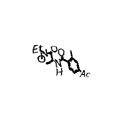 CCN1OC[C@@H](NC(=O)c2ccc(C(C)=O)cc2C)C1=O